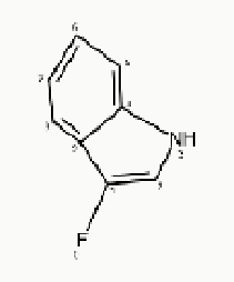 Fc1c[nH]c2ccccc12